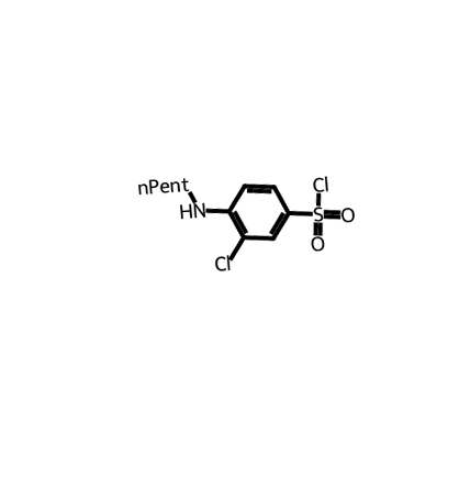 CCCCCNc1ccc(S(=O)(=O)Cl)cc1Cl